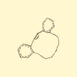 C1=Cc2ccccc2CCCCCCc2ccccc21